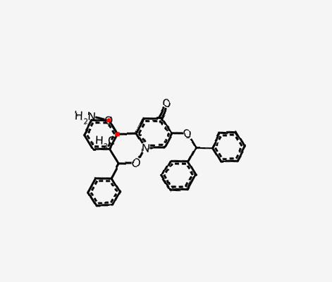 C[C@@H](ON)c1cc(=O)c(OC(c2ccccc2)c2ccccc2)cn1OC(c1ccccc1)c1ccccc1